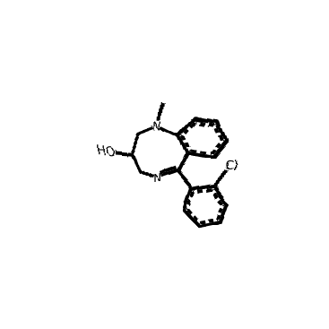 CN1CC(O)CN=C(c2ccccc2Cl)c2ccccc21